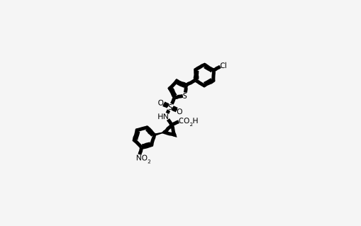 O=C(O)C1(NS(=O)(=O)c2ccc(-c3ccc(Cl)cc3)s2)C[C@H]1c1cccc([N+](=O)[O-])c1